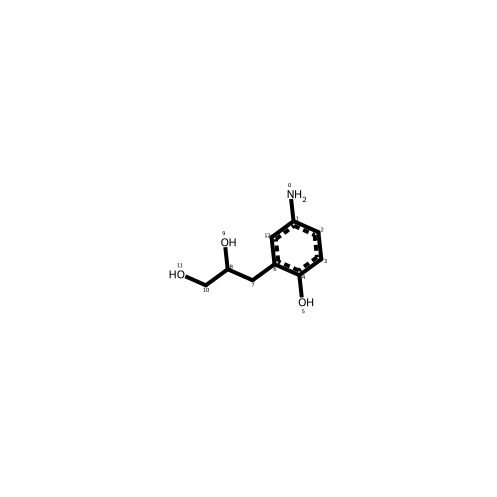 Nc1ccc(O)c(CC(O)CO)c1